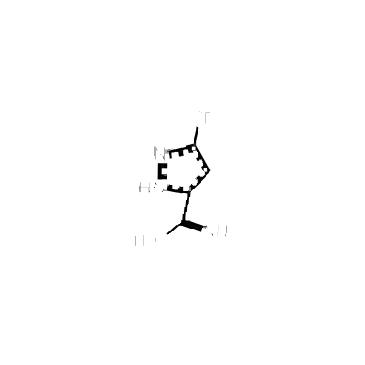 CC(=N)c1cc(C(F)(F)F)n[nH]1